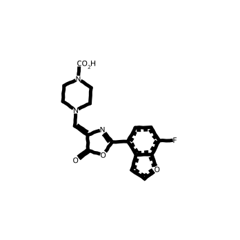 O=C1OC(c2ccc(F)c3occc23)=NC1=CN1CCN(C(=O)O)CC1